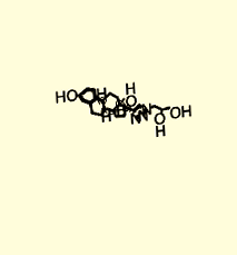 C[C@]12CC[C@@H]3c4ccc(O)cc4CC[C@H]3[C@@H]1CC[C@@]2(O)c1cn(CC(O)CO)nn1